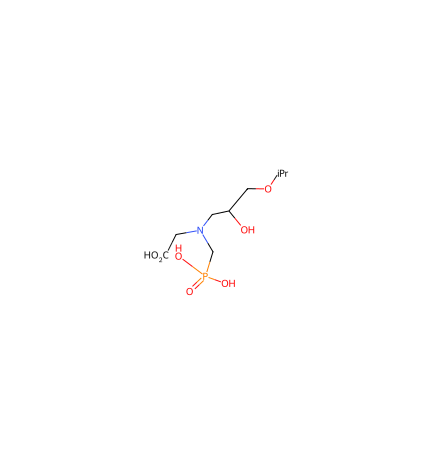 CC(C)OCC(O)CN(CC(=O)O)CP(=O)(O)O